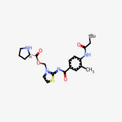 Cc1cc(C(=O)N=c2sccn2COC(=O)[C@@H]2CCCN2)ccc1NC(=O)CC(C)(C)C